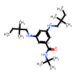 CCC(C)(C)CNc1cc(NCC(C)(C)CC)cc(C(=O)NC(C)(C)C)c1